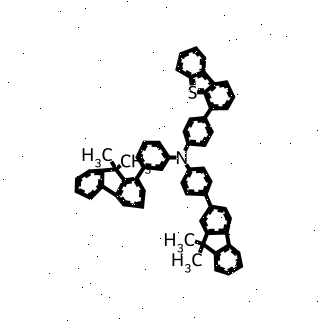 CC1(C)c2ccccc2-c2ccc(-c3ccc(N(c4ccc(-c5cccc6c5sc5ccccc56)cc4)c4cccc(-c5cccc6c5C(C)(C)c5ccccc5-6)c4)cc3)cc21